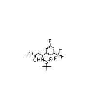 COC(=O)C[C@H](N[S+]([O-])C(C)(C)C)c1cc(F)cc(C(F)(F)F)c1